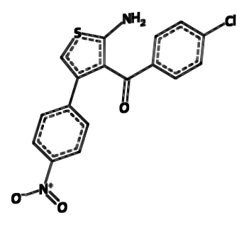 Nc1scc(-c2ccc([N+](=O)[O-])cc2)c1C(=O)c1ccc(Cl)cc1